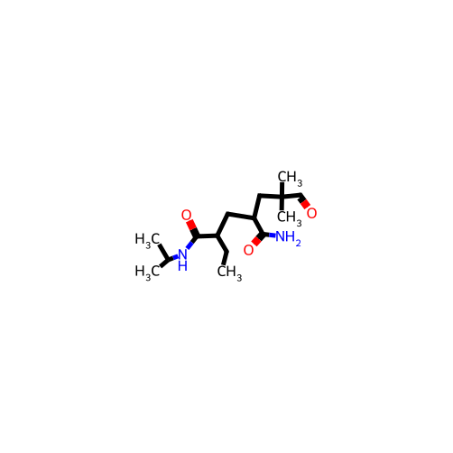 CCC(CC(CC(C)(C)C=O)C(N)=O)C(=O)NC(C)C